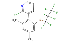 Cc1[c]c(C)c(-c2cccnc2Cl)c(SC(F)(F)C(F)(F)C(F)(F)F)c1